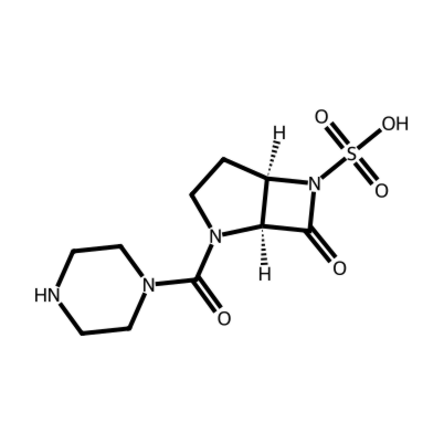 O=C(N1CCNCC1)N1CC[C@@H]2[C@H]1C(=O)N2S(=O)(=O)O